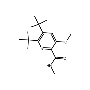 CNC(=O)c1nc(C(C)(C)C)c(C(C)(C)C)cc1OC